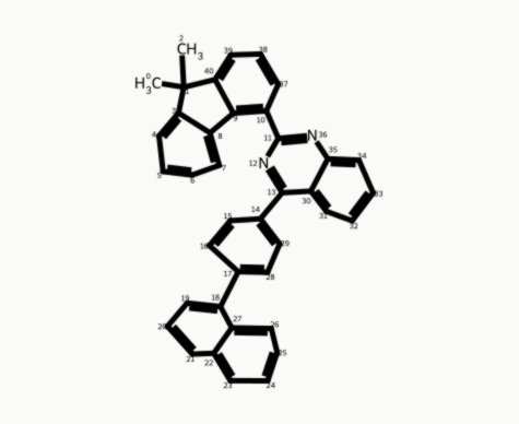 CC1(C)c2ccccc2-c2c(-c3nc(-c4ccc(-c5cccc6ccccc56)cc4)c4ccccc4n3)cccc21